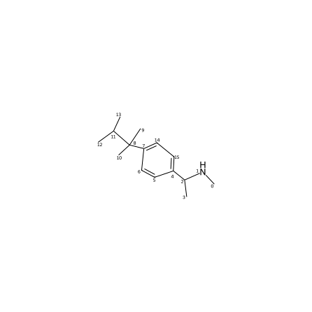 CNC(C)c1ccc(C(C)(C)C(C)C)cc1